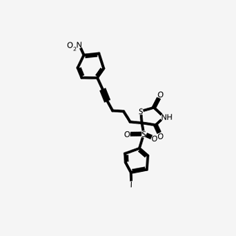 O=C1NC(=O)C(CCCC#Cc2ccc([N+](=O)[O-])cc2)(S(=O)(=O)c2ccc(I)cc2)S1